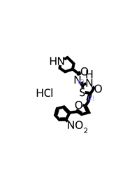 Cl.O=C1N/C(=N\C(=O)C2CCNCC2)S/C1=C\c1ccc(-c2ccccc2[N+](=O)[O-])o1